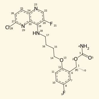 C[C@@H](OC(N)=O)c1cc(F)ccc1OCCCCNc1c(F)cnc2ccc(Cl)nc12